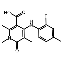 Cc1ccc(Nc2c(C(=O)O)c(C)n(C)c(=O)c2C)c(F)c1